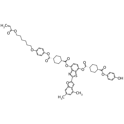 C=CC(=O)OCCCCCCOc1ccc(OC(=O)[C@H]2CC[C@H](C(=O)Oc3ccc(OC(=O)[C@H]4CC[C@H](C(=O)Oc5ccc(O)cc5)CC4)c4sc(-c5cc6c(C)cc(C)cc6o5)nc34)CC2)cc1